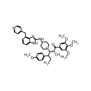 CCC(c1ccc(OC)cc1)C(N1CCC(Nc2nc3c(Cc4ccncc4)cccc3[nH]2)CC1)N(C)C(=O)c1cc(OC)c(OC)c(OC)c1